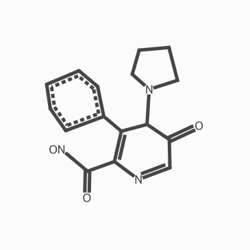 O=NC(=O)C1=C(c2ccccc2)C(N2CCCC2)C(=O)C=N1